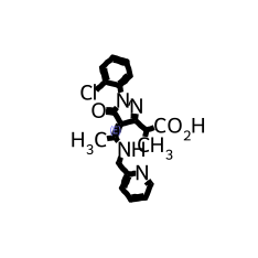 C/C(NCc1ccccn1)=C1\C(=O)N(c2ccccc2Cl)N=C1C(C)C(=O)O